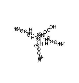 [N-]=[N+]=NCCOCCOCCC(=O)NCCCC[C@H](NC(=O)CCCNC(=O)CCOCCOCCN=[N+]=[N-])C(=O)N[C@@H](CCCCNC(=O)CCOCCOCCN=[N+]=[N-])C(=O)NCCOCCOCCO